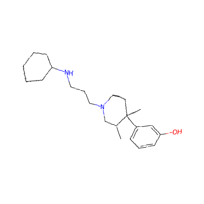 CC1CN(CCCNC2CCCCC2)CCC1(C)c1cccc(O)c1